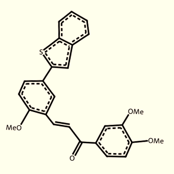 COc1ccc(-c2cc3ccccc3s2)cc1C=CC(=O)c1ccc(OC)c(OC)c1